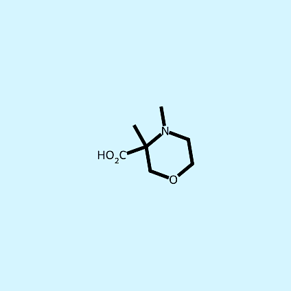 CN1CCOCC1(C)C(=O)O